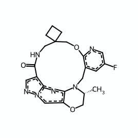 C[C@@H]1COc2cn3ncc4c3nc2N1Cc1cc(F)cnc1OCC1(CCC1)CNC4=O